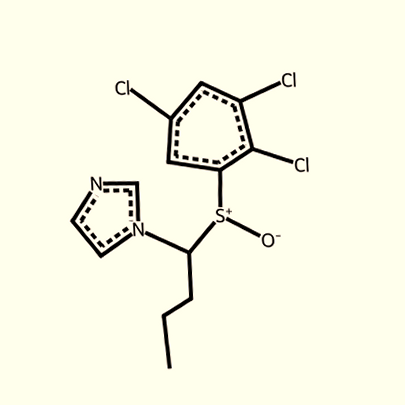 CCCC(n1ccnc1)[S+]([O-])c1cc(Cl)cc(Cl)c1Cl